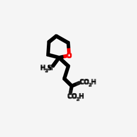 O=C(O)C(CCC1([SiH3])CCCCO1)C(=O)O